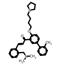 Cc1ccccc1-c1ccc(OCCCCN2CCCC2)c(C(=O)/C=C/c2ccccc2CN(C)C)c1